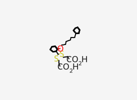 O=C(O)CCSC(SCCC(=O)O)c1ccccc1OCCCCCCc1ccccc1